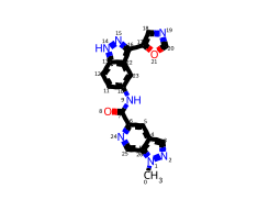 Cn1ncc2cc(C(=O)Nc3ccc4[nH]nc(-c5cnco5)c4c3)ncc21